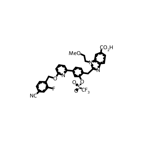 COCCn1c(Cc2ccc(-c3cccc(OCc4ccc(C#N)cc4F)n3)cc2OS(=O)(=O)C(F)(F)F)nc2ccc(C(=O)O)cc21